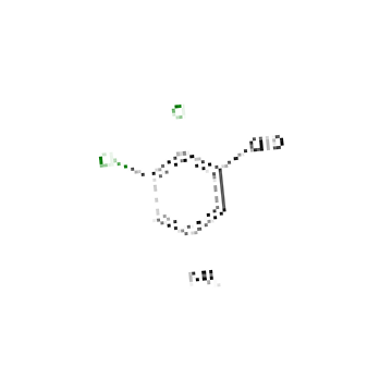 O=Cc1cc([N+](=O)[O-])cc(Cl)c1Cl